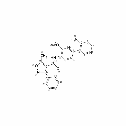 COc1nc(-c2cnccc2N)ccc1NC(=O)c1c(-c2ccccc2)noc1C